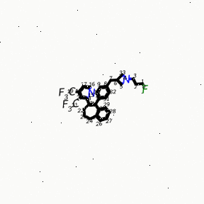 FCCCN1CC(Cc2ccc(C3=C(c4nccc(C(F)(F)F)c4C(F)(F)F)CCCc4ccccc43)cc2)C1